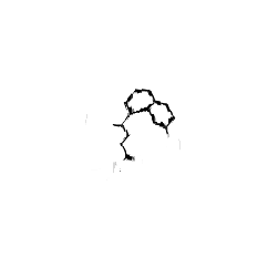 CC(CCC(N)=O)c1cccc2ccc(O)cc12